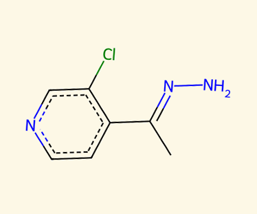 CC(=NN)c1ccncc1Cl